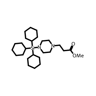 COC(=O)CCN1CCN([Si](C2CCCCC2)(C2CCCCC2)C2CCCCC2)CC1